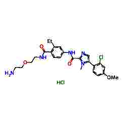 CCc1cc(NC(=O)c2ncc(-c3ccc(OC)cc3Cl)n2C)ccc1C(=O)NCCOCCN.Cl